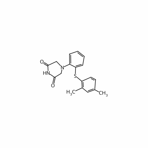 Cc1ccc(Sc2ccccc2N2CC(=O)NC(=O)C2)c(C)c1